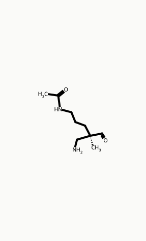 CC(=O)NCCC[C@@](C)(C=O)CN